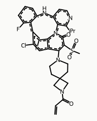 C=CC(=O)N1CC2(CCN(c3c(S(C)(=O)=O)c(=O)n4c5c(C(C)C)nccc5[nH]c5cccc(F)c5c5c(Cl)cc3c4c5F)CC2)C1